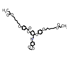 C=CC(=O)OCCCCCCOc1ccc(Oc2ccc(OC(=O)c3ccc(OCCCCCCOC(=O)C=C)cc3)cc2/C=N/c2ccc3c(c2)OCCO3)cc1